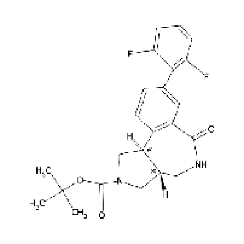 CC(C)(C)OC(=O)N1C[C@H]2CNC(=O)c3cc(-c4c(F)cccc4F)ccc3[C@@H]2C1